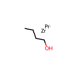 CCCCO.[Pr].[Zr]